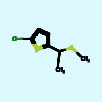 CSC(C)c1ccc(Cl)s1